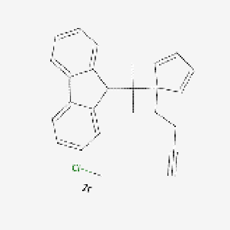 C#CCCC1(C(C)(C)C2c3ccccc3-c3ccccc32)C=CC=C1.CCl.[Zr]